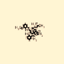 COc1cccc(CNC[C@H](O)[C@@H](Cc2ccccc2)C(CC(N)=O)(CS(=O)(=O)CCC(C)C)C(N)=O)c1